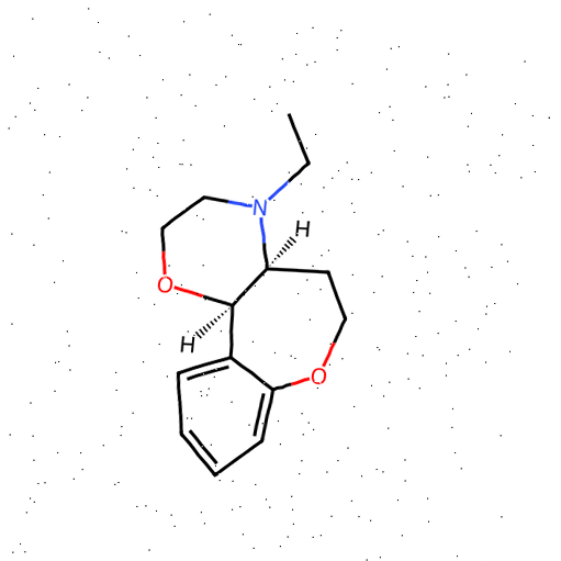 CCN1CCO[C@@H]2c3ccccc3OCC[C@@H]21